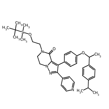 CC(C)c1ccc(C(C)Oc2ccc(-c3c(-c4ccncc4)nn4c3C(=O)N(CCO[Si](C)(C)C(C)(C)C)CC4)cc2)cc1